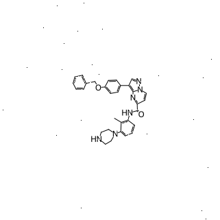 Cc1c(NC(=O)c2ccn3ncc(-c4ccc(OCc5ccccc5)cc4)c3n2)cccc1N1CCNCC1